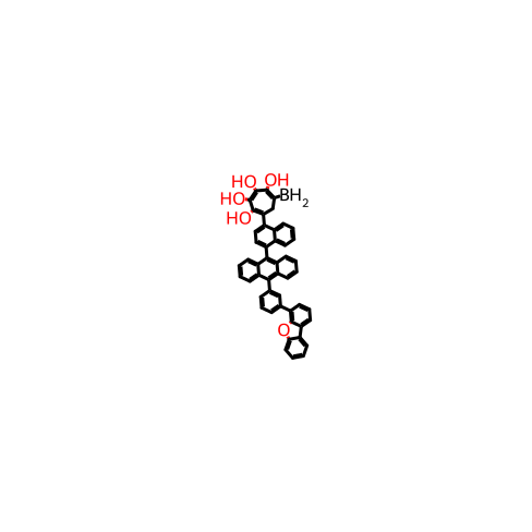 BC1=C(O)C(O)=C(O)C(O)=C(c2ccc(-c3c4ccccc4c(-c4cccc(-c5cccc6c5oc5ccccc56)c4)c4ccccc34)c3ccccc23)C1